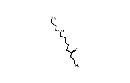 NCCCNCCCCCC(=S)CCN